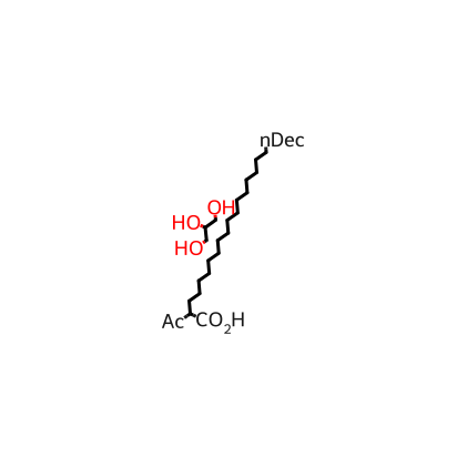 CCCCCCCCCCCCCCCCCCCCCCCCCCC(C(C)=O)C(=O)O.OCC(O)CO